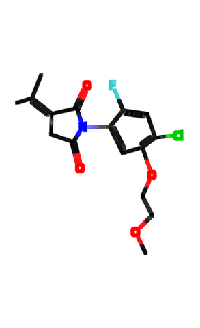 COCCOc1cc(N2C(=O)CC(=C(C)C)C2=O)c(F)cc1Cl